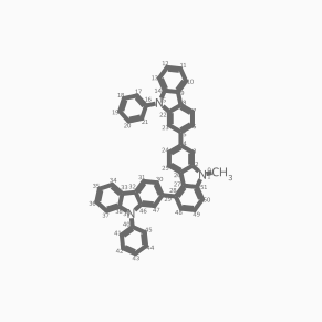 Cn1c2cc(-c3ccc4c5ccccc5n(-c5ccccc5)c4c3)ccc2c2c(-c3ccc4c5ccccc5n(-c5ccccc5)c4c3)cccc21